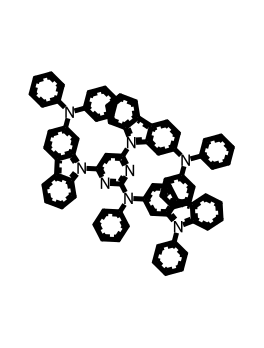 c1ccc(N(c2ccccc2)c2ccc3c4ccccc4n(-c4cc(-n5c6ccccc6c6ccc(N(c7ccccc7)c7ccccc7)cc65)nc(N(c5ccccc5)c5ccc6c7ccccc7n(-c7ccccc7)c6c5)n4)c3c2)cc1